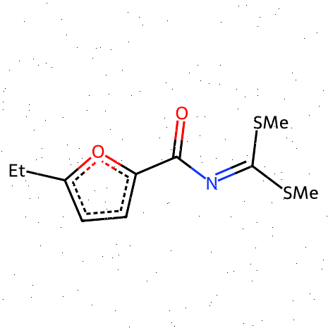 CCc1ccc(C(=O)N=C(SC)SC)o1